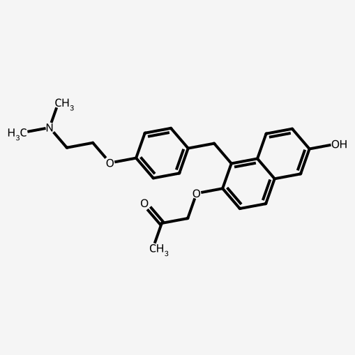 CC(=O)COc1ccc2cc(O)ccc2c1Cc1ccc(OCCN(C)C)cc1